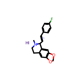 CN1CCc2cc3c(cc2C1/C=C/c1ccc(F)cc1)OCO3.I